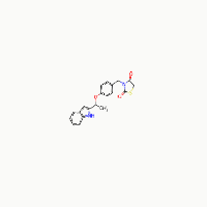 CC(Oc1ccc(CN2C(=O)CSC2=O)cc1)c1cc2ccccc2[nH]1